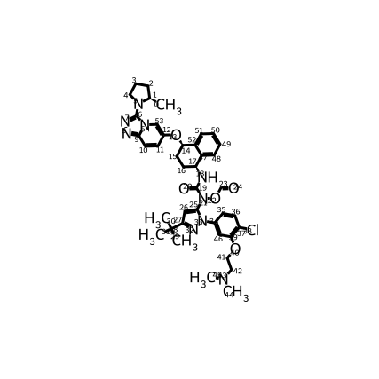 C[C@@H]1CCCN1c1nnc2ccc(O[C@@H]3CC[C@H](NC(=O)N(OC=O)c4cc(C(C)(C)C)nn4-c4ccc(Cl)c(OCCN(C)C)c4)c4ccccc43)cn12